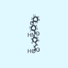 O=C(O)CCc1ccc(NC(=O)c2ccc(Oc3ccccc3)cc2)cc1